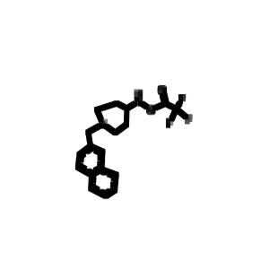 O=C(ONC1CCN(Cc2ccc3ccccc3c2)CC1)C(F)(F)F